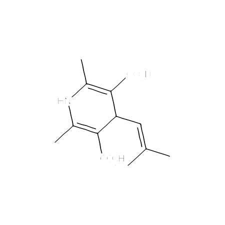 CC(C)=CC1C(C(=O)O)=C(C)NC(C)=C1C(=O)O